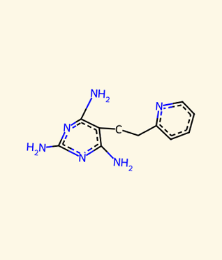 Nc1nc(N)c(CCc2ccccn2)c(N)n1